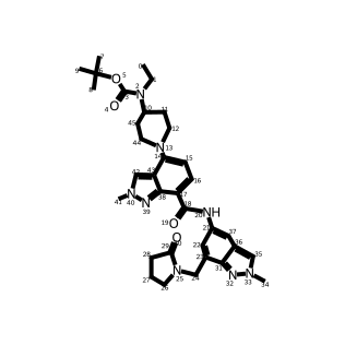 CCN(C(=O)OC(C)(C)C)C1CCN(c2ccc(C(=O)Nc3cc(CN4CCCC4=O)c4nn(C)cc4c3)c3nn(C)cc23)CC1